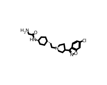 NCC(=O)N[C@H]1CC[C@H](CCN2CCC(c3noc4cc(Cl)ccc34)CC2)CC1